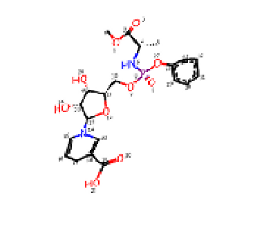 COC(=O)[C@H](C)NP(=O)(OC[C@H]1O[C@@H](N2C=CCC(C(=O)O)=C2)[C@H](O)[C@@H]1O)Oc1ccccc1